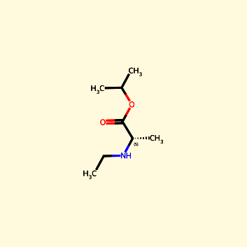 CCN[C@@H](C)C(=O)OC(C)C